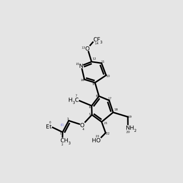 CC/C(C)=C/Oc1c(C)c(-c2ccc(OC(F)(F)F)nc2)cc(CN)c1CO